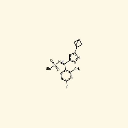 Cc1nc(F)ccc1/C(=N\S(=O)(=O)C(C)(C)C)c1cn(C23CC(C2)C3)nn1